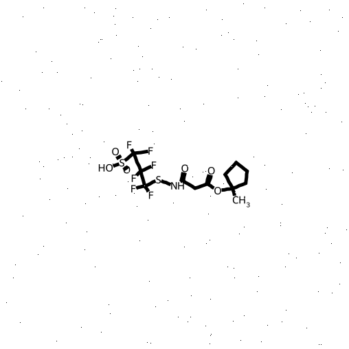 CC1(OC(=O)CC(=O)NSC(F)(F)C(F)(F)C(F)(F)S(=O)(=O)O)CCCC1